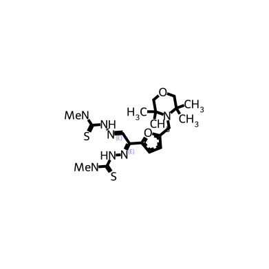 CNC(=S)N/N=C/C(=N\NC(=S)NC)c1ccc(CN2C(C)(C)COCC2(C)C)o1